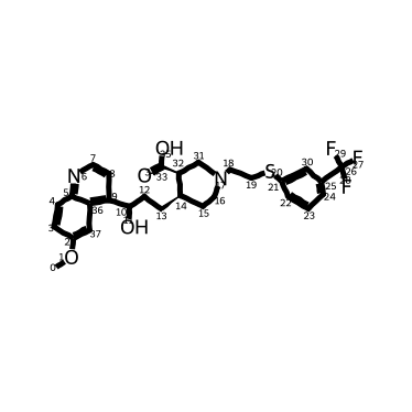 COc1ccc2nccc(C(O)CC[C@@H]3CCN(CCSc4cccc(C(F)(F)F)c4)C[C@@H]3C(=O)O)c2c1